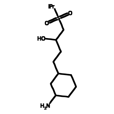 CC(C)S(=O)(=O)CC(O)CCC1CCCC(N)C1